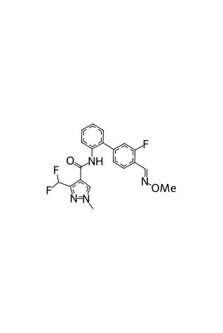 CO/N=C/c1ccc(-c2ccccc2NC(=O)c2cn(C)nc2C(F)F)cc1F